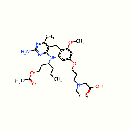 CCCC(CCOC(C)=O)Nc1nc(N)nc(C)c1Cc1ccc(OCCCN(CC)CC(=O)O)cc1OC